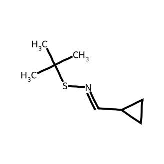 CC(C)(C)SN=CC1CC1